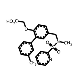 CN(Cc1ccc(OCC(=O)O)c(-c2cccc(C(F)(F)F)c2)c1)S(=O)(=O)c1ccccn1